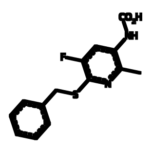 Cc1nc(SCc2ccccc2)c(F)cc1NC(=O)O